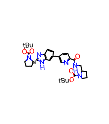 CC(C)(C)OC(=O)N1CCCC1CNC(=O)c1ccc(-c2ccc3nc([C@@H]4CCCN4C(=O)OC(C)(C)C)[nH]c3c2)cn1